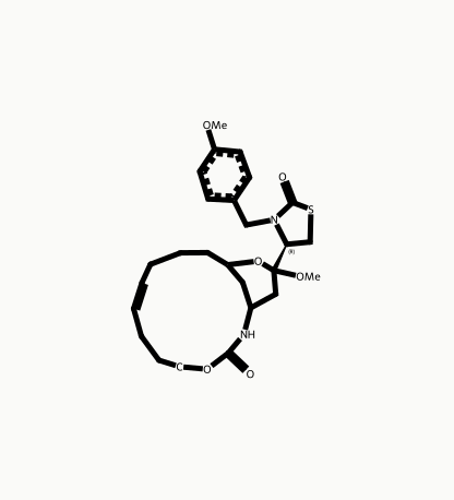 COc1ccc(CN2C(=O)SC[C@H]2C2(OC)CC3CC(CCCC=CCCCOC(=O)N3)O2)cc1